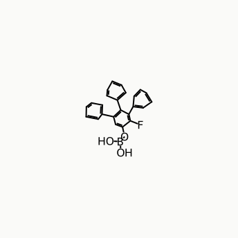 OB(O)Oc1cc(-c2ccccc2)c(-c2ccccc2)c(-c2ccccc2)c1F